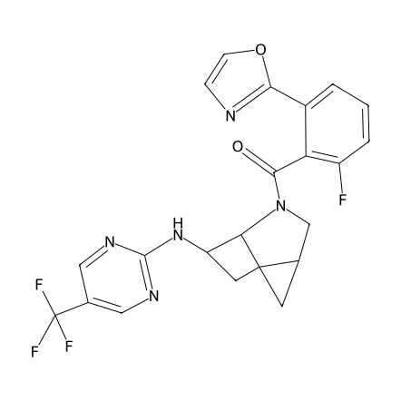 O=C(c1c(F)cccc1-c1ncco1)N1CC2CC23CC(Nc2ncc(C(F)(F)F)cn2)C13